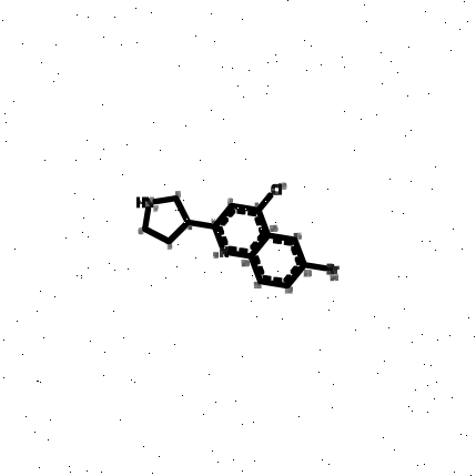 Clc1cc(C2CCNC2)nc2ccc(Br)cc12